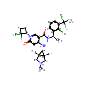 C[C@@H](NC(=O)c1cn([C@@H]2CCC2(F)F)c(=O)cc1N[C@@H]1[C@@H]2CN(C)C[C@@H]21)c1cccc(C(C)(F)F)c1F